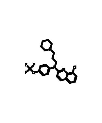 FC(F)(F)Oc1ccc(N(CCCN2CCCCC2)c2ccc3cccc(Cl)c3n2)cc1